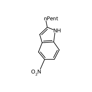 CCCCCc1cc2cc([N+](=O)[O-])ccc2[nH]1